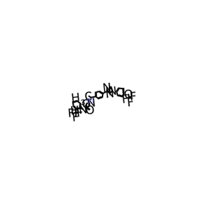 C/C(=N\OC(=O)Nc1ccccc1C(F)(F)F)c1ccc(-c2ncn(-c3ccc(OC(F)(F)F)cc3)n2)cc1